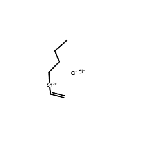 C=[CH][Sn+2][CH2]CCC.[Cl-].[Cl-]